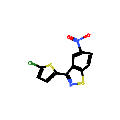 O=[N+]([O-])c1ccc2snc(-c3ccc(Cl)s3)c2c1